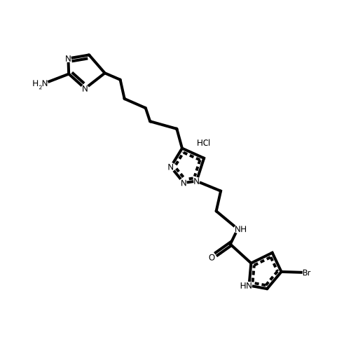 Cl.NC1=NC(CCCCCc2cn(CCNC(=O)c3cc(Br)c[nH]3)nn2)C=N1